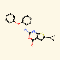 O=c1oc(Nc2ccccc2Oc2ccccc2)nc2sc(C3CC3)cc12